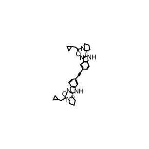 O=C(CC1CC1)N1CCC[C@H]1c1nc2cc(C#Cc3ccc4nc([C@@H]5CCCN5C(=O)CC5CC5)[nH]c4c3)ccc2[nH]1